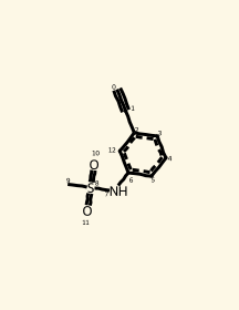 C#Cc1cccc(NS(C)(=O)=O)c1